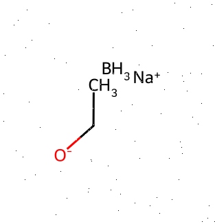 B.CC[O-].[Na+]